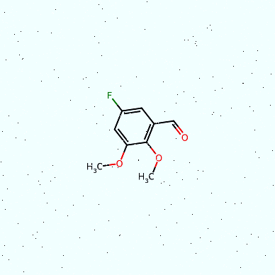 COc1cc(F)cc(C=O)c1OC